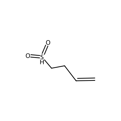 C=CCC[SH](=O)=O